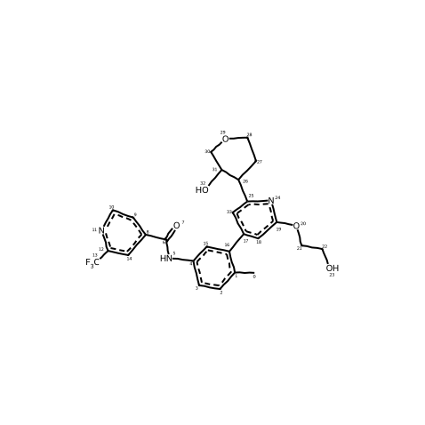 Cc1ccc(NC(=O)c2ccnc(C(F)(F)F)c2)cc1-c1cc(OCCO)nc(C2CCOCC2O)c1